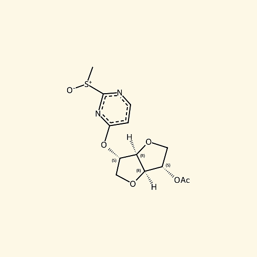 CC(=O)O[C@H]1CO[C@H]2[C@@H]1OC[C@@H]2Oc1ccnc([S+](C)[O-])n1